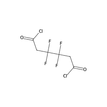 O=C(Cl)CC(F)(F)C(F)(F)CC(=O)Cl